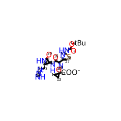 CC(C)(C)OC(=O)Nc1nc(C(=NOC2(C(=O)[O-])CC2)C(=O)N[C@@H]2C(=O)N[C@@H]2CN=[N+]=N)cs1